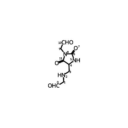 O=CCNCC1NC(=O)N(CC=O)C1=O